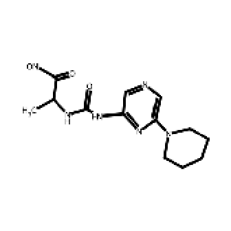 CC(NC(=O)Nc1cncc(N2CCCCC2)n1)C(=O)N=O